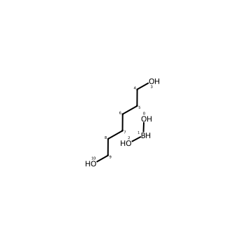 OBO.OCCCCCCO